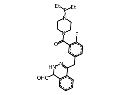 CCP(CC)N1CCN(C(=O)c2cc(CC3=NNC(C=O)c4ccccc43)ccc2F)CC1